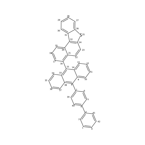 c1ccc(-c2ccc(-c3c4ccccc4c(-c4cccc5c4ccc4sc6ccccc6c45)c4ccccc34)cc2)cc1